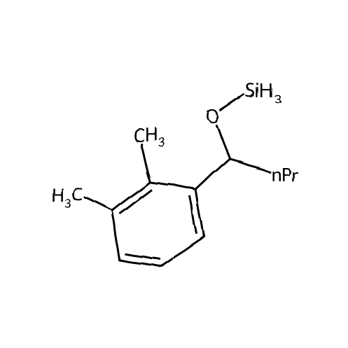 CCCC(O[SiH3])c1cccc(C)c1C